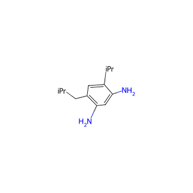 CC(C)Cc1cc(C(C)C)c(N)cc1N